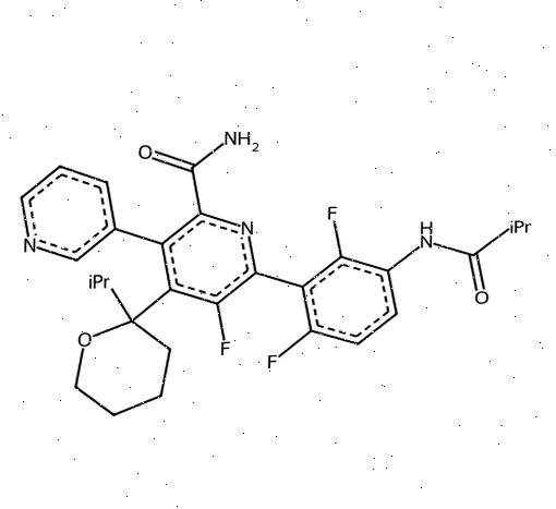 CC(C)C(=O)Nc1ccc(F)c(-c2nc(C(N)=O)c(-c3cccnc3)c(C3(C(C)C)CCCCO3)c2F)c1F